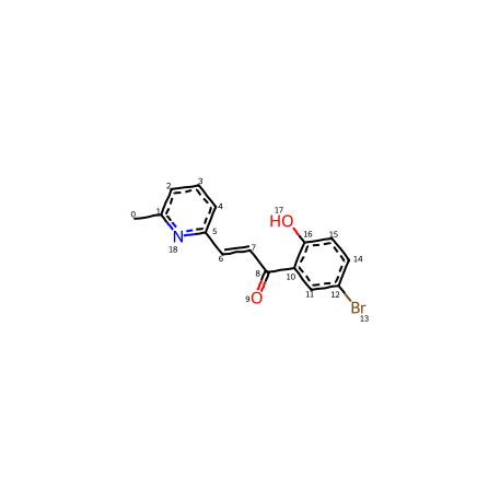 Cc1cccc(/C=C/C(=O)c2cc(Br)ccc2O)n1